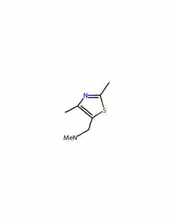 CNCc1sc(C)nc1C